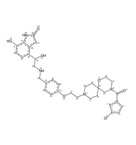 O=C(c1ccc(Cl)s1)N1CCOC2(CCN(CCOc3ccc(CNCC(O)c4ccc(O)c5[nH]c(=O)sc45)cc3)CC2)C1